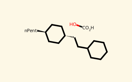 CCCCC[C@H]1CC[C@H](CCC2CCCCC2)CC1.O=C(O)O